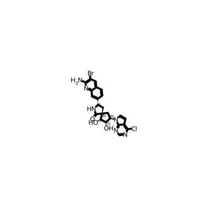 Nc1nc2cc([C@@H]3C[C@]4(C[C@@H](n5ccc6c(Cl)ncnc65)[C@H](O)[C@@H]4O)C(=O)N3)ccc2cc1Br